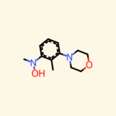 Cc1c(N(C)O)cccc1N1CCOCC1